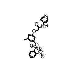 Cc1cc(OCC(=O)Nc2ccncc2)cc(OS(=O)(=O)c2ccccc2[N+](=O)[O-])c1